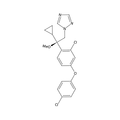 CO[C@@](Cn1cncn1)(c1ccc(Oc2ccc(Cl)cc2)cc1Cl)C1CC1